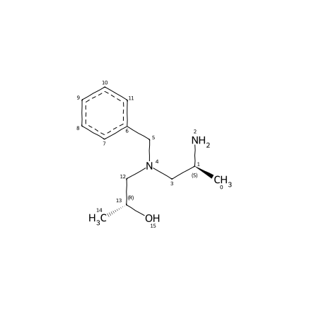 C[C@H](N)CN(Cc1ccccc1)C[C@@H](C)O